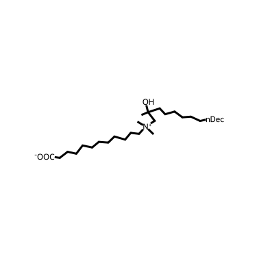 CCCCCCCCCCCCCCCCC(C)(O)C[N+](C)(C)CCCCCCCCCCCC(=O)[O-]